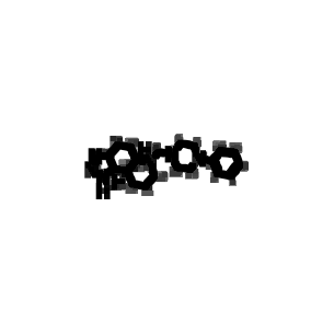 c1ccc(N2CCN(CN3CCC[C@H]4C5NN=NC5CC[C@@H]43)CC2)cc1